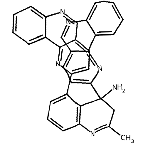 CC1=Nc2cccc(-c3ccc4cnc5ccccc5c4n3)c2C(N)(c2ccc3cnc4ccccc4c3n2)C1